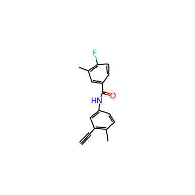 C#Cc1cc(NC(=O)c2ccc(F)c(C)c2)ccc1C